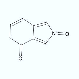 O=C1CC=CC2=C[N+](=O)[C]=C12